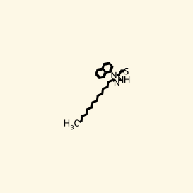 CCCCCCCCCCCCCC1=NNC(C=S)N1c1cccc2ccccc12